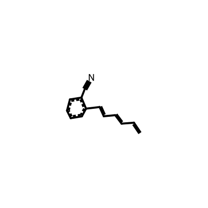 C=CC=CC=Cc1ccccc1C#N